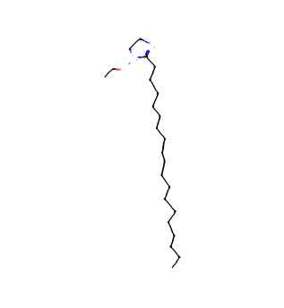 CCCCCCCCCCCCCCCCCCC1=NCCN1OCC